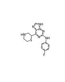 Fc1ccc(Nc2nc(C3CNCCS3)c3nc[nH]c3n2)cc1